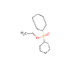 CCOP(=O)(C1CCCCC1)C1CCCCC1